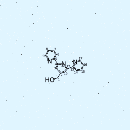 OCc1cc(-c2ccccn2)nc(-c2ccccn2)c1